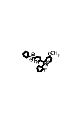 COc1ccn2nc(-c3ccccc3F)c(-c3ccc(S(=O)(=O)c4ccccc4)nn3)c2c1